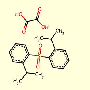 CC(C)c1ccccc1S(=O)(=O)c1ccccc1C(C)C.O=C(O)C(=O)O